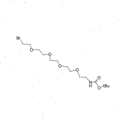 CC(C)(C)OC(=O)NCCOCCOCCOCCOCCBr